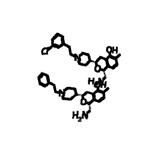 Cc1ccc2c(c1O)C[C@@H](C1CCN(CCc3cccc(Cl)c3)CC1)O[C@H]2CN.Cc1ccc2c(c1O)C[C@@H](C1CCN(CCc3ccccc3)CC1)O[C@H]2CN